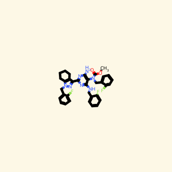 COC(=O)N(Cc1ccccc1F)c1c(N)nc(-c2nn(Cc3ccccc3F)c3c2CCCC3)nc1NCc1ccccc1F